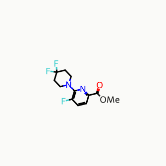 COC(=O)c1ccc(F)c(N2CCC(F)(F)CC2)n1